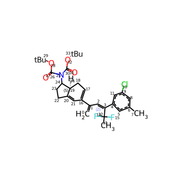 C=C(/C=C(/c1cc(C)cc(Cl)c1)C(C)(F)F)C1=CC[C@H]2C(=C1)CCC2N(C(=O)OC(C)(C)C)C(=O)OC(C)(C)C